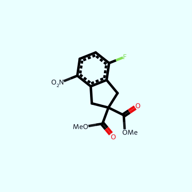 COC(=O)C1(C(=O)OC)Cc2c(F)ccc([N+](=O)[O-])c2C1